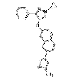 Cn1cc(-c2ccc3ccc(Oc4cn(C5CC5)nc4-c4ccccc4)nc3c2)cn1